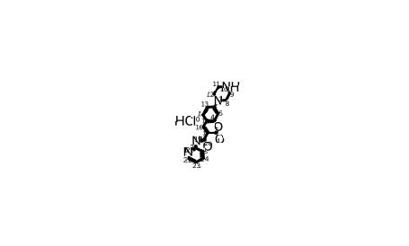 Cl.O=c1oc2cc(N3CCNCC3)ccc2cc1-c1nc2ncccc2o1